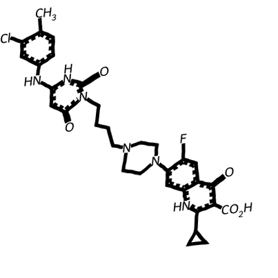 Cc1ccc(Nc2cc(=O)n(CCCCN3CCN(c4cc5[nH]c(C6CC6)c(C(=O)O)c(=O)c5cc4F)CC3)c(=O)[nH]2)cc1Cl